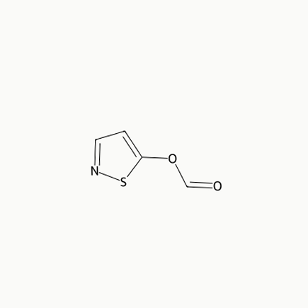 O=COc1ccns1